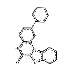 O=c1[nH]c2ccc(-c3ccccc3)cc2n2c1nc1ccccc12